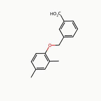 Cc1ccc(OCc2cccc(C(=O)O)c2)c(C)c1